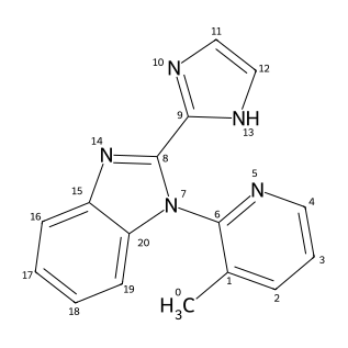 Cc1cccnc1-n1c(-c2ncc[nH]2)nc2ccccc21